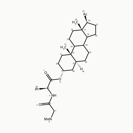 CNCC(=O)N[C@H](C(=O)O[C@@H]1CC[C@]2(C)C3CC[C@@]4(C)C(CC[C@@H]4C(C)=O)C3CC[C@H]2C1)C(C)C